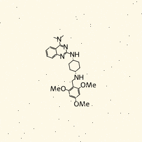 COc1cc(OC)c(CN[C@H]2CC[C@@H](Nc3nc(N(C)C)c4ccccc4n3)CC2)c(OC)c1